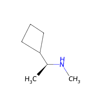 CN[C@@H](C)C1CCC1